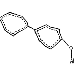 [Al][O]c1ccc(-c2ccccc2)cc1